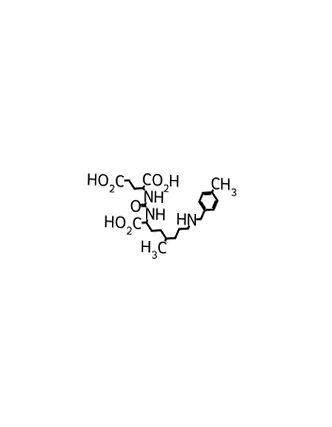 Cc1ccc(CNCCCC(C)CCC(NC(=O)N[C@@H](CCC(=O)O)C(=O)O)C(=O)O)cc1